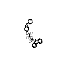 O=C(Nc1ccccc1-c1ccccc1)OC(=O)C(=O)OC1CCN(CC2CCCCC2)CC1